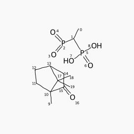 CC(P(=O)=O)P(=O)(O)O.CC12CCC(CC1=O)C2(C)C